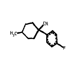 CC1CCC(C#N)(c2ccc(F)cc2)CC1